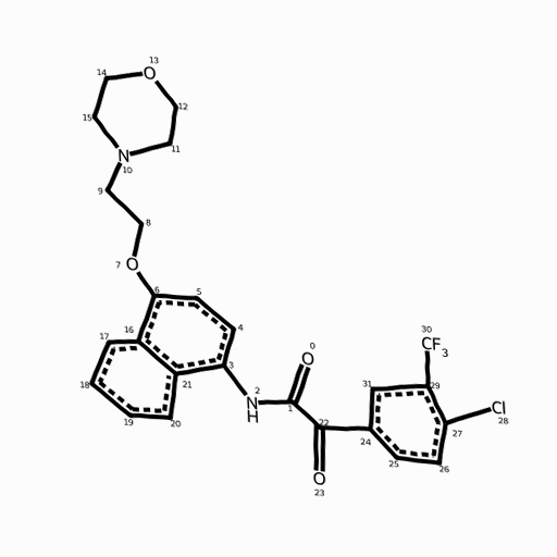 O=C(Nc1ccc(OCCN2CCOCC2)c2ccccc12)C(=O)c1ccc(Cl)c(C(F)(F)F)c1